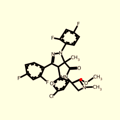 COCC1(NC(=O)C2(C)C(c3ccc(Cl)o3)C(c3ccc(F)cc3F)=NN2c2ccc(F)cc2F)CN(C)C1